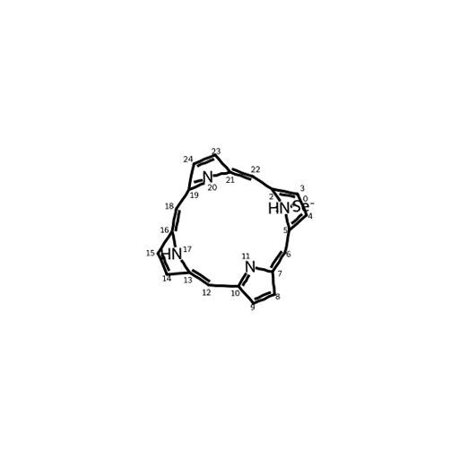 [Se-][NH+]1C2=CC=C1C=C1C=CC(=N1)C=c1ccc([nH]1)=CC1=NC(=C2)C=C1